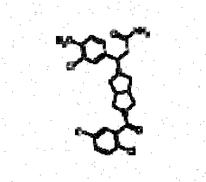 Cc1ccc(C(CC(N)=O)N2CC3CN(C(=O)c4cc(Cl)ccc4Cl)CC3C2)cc1Cl